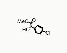 COC(=O)[C@H](O)c1ccc(Cl)cc1